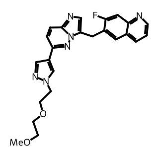 COCCOCCn1cc(-c2ccc3ncc(Cc4cc5cccnc5cc4F)n3n2)cn1